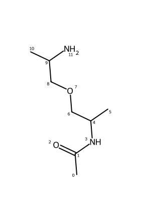 CC(=O)NC(C)COCC(C)N